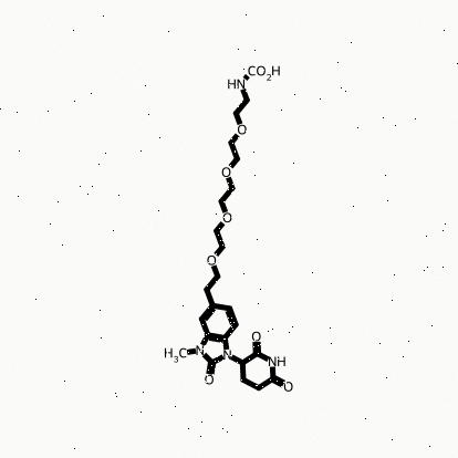 Cn1c(=O)n(C2CCC(=O)NC2=O)c2ccc(CCOCCOCCOCCOCCNC(=O)O)cc21